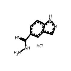 Cl.N=C(NN)c1ccc2[nH]ncc2c1